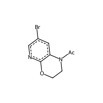 CC(=O)N1CCOc2ncc(Br)cc21